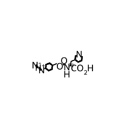 [N-]=[N+]=Nc1ccc(COC(=O)N[C@H](Cc2cccnc2)C(=O)O)cc1